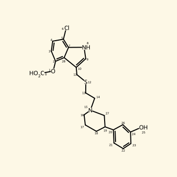 O=C(O)Oc1ccc(Cl)c2[nH]cc(CSCCN3CCCC(c4cccc(O)c4)C3)c12